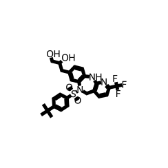 CC(C)(C)c1ccc(S(=O)(=O)N2Cc3ccc(C(F)(F)F)nc3Nc3ccc(CC(O)CO)cc32)cc1